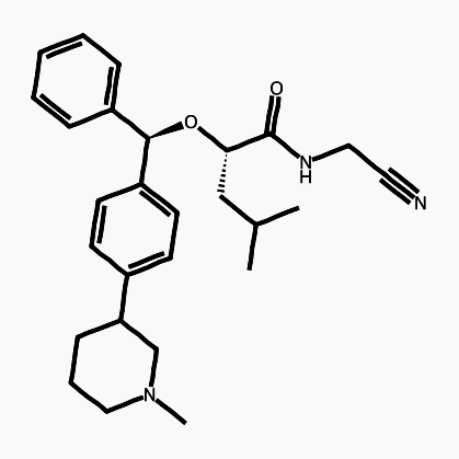 CC(C)C[C@H](O[C@H](c1ccccc1)c1ccc(C2CCCN(C)C2)cc1)C(=O)NCC#N